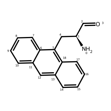 N[C@H](C=O)Cc1c2ccccc2cc2ccccc12